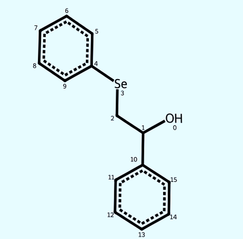 OC(C[Se]c1ccccc1)c1ccccc1